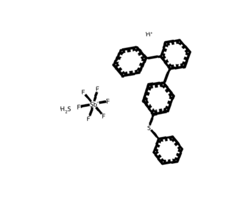 S.[F][Sb-]([F])([F])([F])([F])[F].[H+].c1ccc(Sc2ccc(-c3ccccc3-c3ccccc3)cc2)cc1